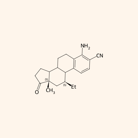 CC[C@H]1C[C@]2(C)C(=O)CCC2C2CCc3c(ccc(C#N)c3N)C21